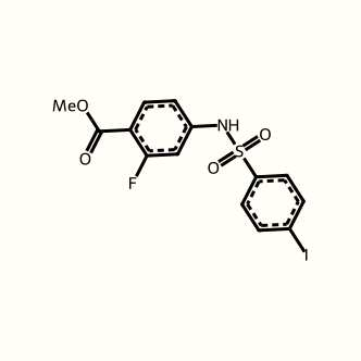 COC(=O)c1ccc(NS(=O)(=O)c2ccc(I)cc2)cc1F